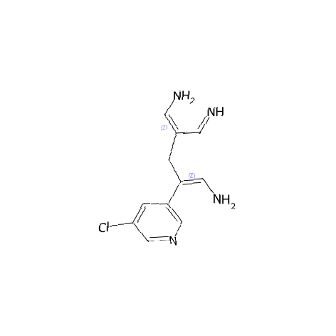 N=C/C(=C\N)C/C(=C/N)c1cncc(Cl)c1